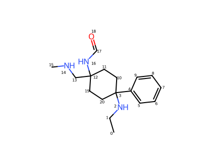 CCNC1(c2ccccc2)CCC(CNC)(NC=O)CC1